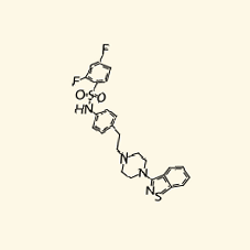 O=S(=O)(Nc1ccc(CCN2CCN(c3nsc4ccccc34)CC2)cc1)c1ccc(F)cc1F